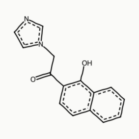 O=C(Cn1ccnc1)c1ccc2ccccc2c1O